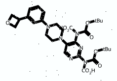 CC(C)(C)OC(=O)N(C(=O)O)c1ncc(N2CCN(c3cccc(C4COC4)c3)CC2)c(N(C(=O)O)C(=O)OC(C)(C)C)n1